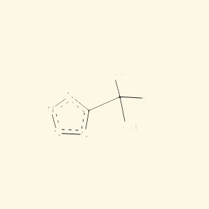 CC(O)(O)c1nnn[nH]1